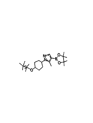 Cc1c(B2OC(C)(C)C(C)(C)O2)cnn1C1CCC(O[Si](C)(C)C(C)(C)C)CC1